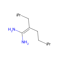 CC(C)CCC(CC(C)C)=C(N)N